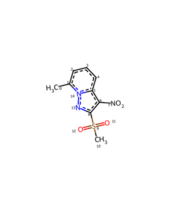 Cc1cccc2c([N+](=O)[O-])c(S(C)(=O)=O)nn12